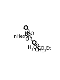 CCCCCCc1nn(Cc2ccccc2)c(=O)n(CCc2ccc(OC(C)(C)C(=O)OCC)cc2)c1=O